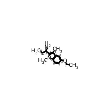 CCOc1ccc2c(c1)c(C)c(C(N)CC)n2C